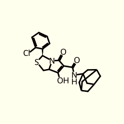 O=C(NC12CC3CC(CC(C3)C1)C2)C1=C(O)C2CS[C@@H](c3ccccc3Cl)N2C1=O